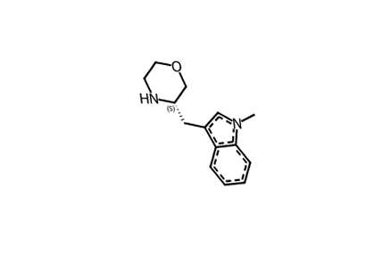 Cn1cc(C[C@H]2COCCN2)c2ccccc21